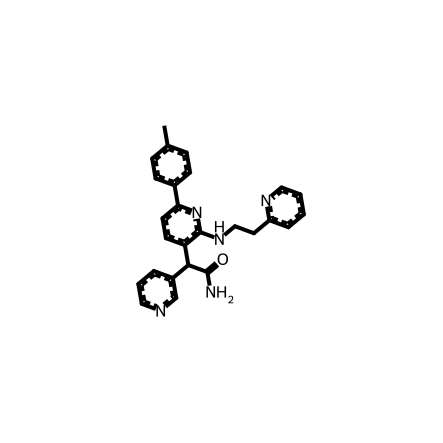 Cc1ccc(-c2ccc(C(C(N)=O)c3cccnc3)c(NCCc3ccccn3)n2)cc1